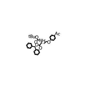 CC(=O)c1ccc(OCC[C@@H](NC(=O)OC(C)(C)C)C(=O)OC(c2ccccc2)c2ccccc2)cc1